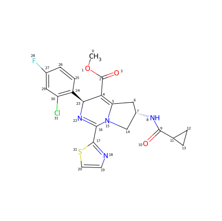 COC(=O)C1=C2C[C@H](NC(=O)C3CC3)CN2C(c2nccs2)=N[C@H]1c1ccc(F)cc1Cl